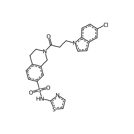 O=C(CCn1ccc2cc(Cl)ccc21)N1CCc2ccc(S(=O)(=O)Nc3nccs3)cc2C1